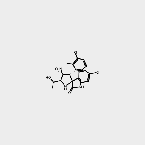 C[C@@H](O)[C@@H]1N[C@@]2(C(=O)Nc3cc(Cl)ccc32)[C@@H](c2cccc(Cl)c2F)[C@@H]1[N+](=O)[O-]